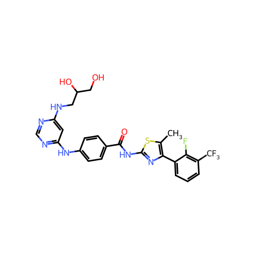 Cc1sc(NC(=O)c2ccc(Nc3cc(NCC(O)CO)ncn3)cc2)nc1-c1cccc(C(F)(F)F)c1F